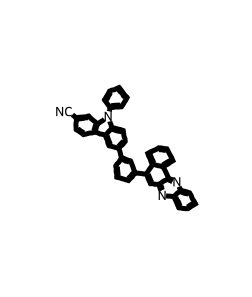 N#Cc1ccc2c3cc(-c4cccc(-c5cc6nc7ccccc7nc6c6ccccc56)c4)ccc3n(-c3ccccc3)c2c1